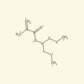 C=C(C)C(=O)OC(CCC)CCC